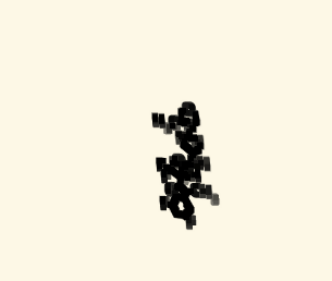 Cc1c([C@H](NC(=O)Nc2cnc(N3CCOC[C@@H]3C)nc2)C(F)(F)F)oc2c(F)cc(F)cc12